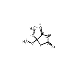 COC1(OC)CC(=O)NC1=O